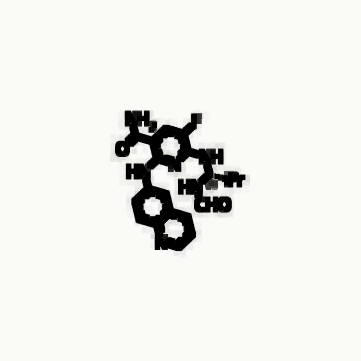 CC(C)[C@H](NC=O)Nc1nc(Nc2ccc3ncccc3c2)c(C(N)=O)cc1F